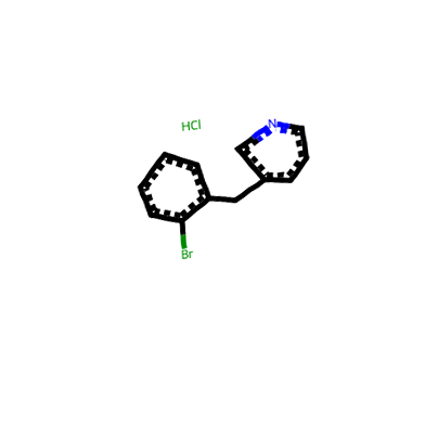 Brc1ccccc1Cc1cccnc1.Cl